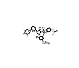 COc1cc(F)c([C@@H]2CN(c3cccc(N4C[C@@H](C)N(C)[C@@H](C)C4)n3)C(=O)[C@H]2NC(=O)c2ccc(OC(F)F)cc2)c(F)c1